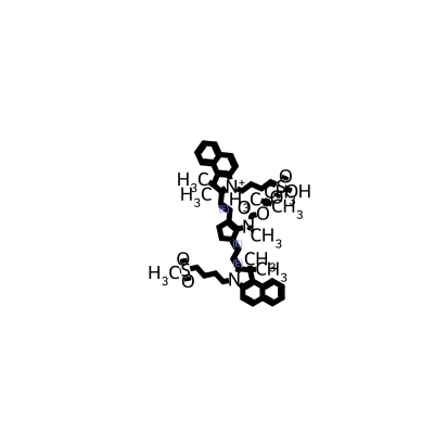 CN(C(=O)OC(C)(C)C)C1=C(/C=C/C2=[N+](CCCCS(=O)(=O)O)c3ccc4ccccc4c3C2(C)C)CC/C1=C\C=C1\N(CCCCS(C)(=O)=O)c2ccc3ccccc3c2C1(C)C